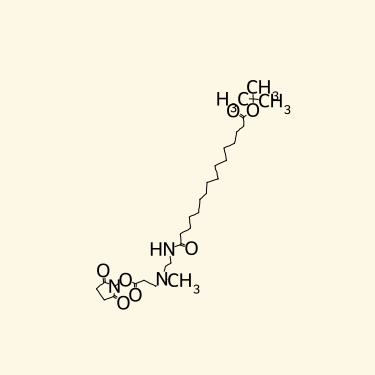 CN(CCNC(=O)CCCCCCCCCCCCCCC(=O)OC(C)(C)C)CCC(=O)ON1C(=O)CCC1=O